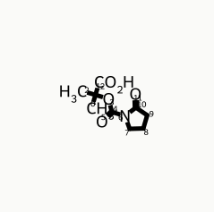 CC(C)(OC(=O)N1CCCC1=O)C(=O)O